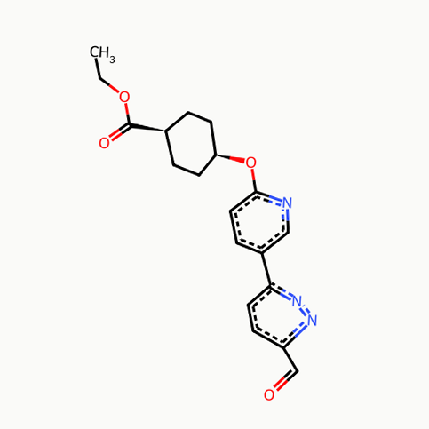 CCOC(=O)[C@H]1CC[C@@H](Oc2ccc(-c3ccc(C=O)nn3)cn2)CC1